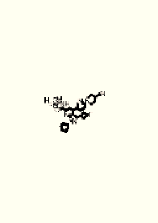 CS(=O)(=O)NC(=O)c1cc(-c2ccc(N3CCC(C#N)CC3)nc2)c2c(C3CC(F)C3)nn(-c3ccccc3)c2n1